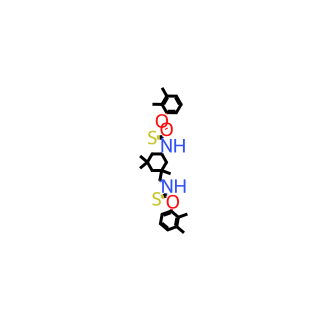 Cc1cccc(OOC(=S)NC2CC(C)(C)CC(C)(CNC(=S)Oc3cccc(C)c3C)C2)c1C